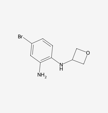 Nc1cc(Br)ccc1NC1COC1